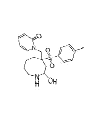 Cc1ccc(S(=O)(=O)C2(Cn3ccccc3=O)CCCCNC(O)C2)cc1